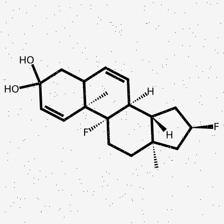 C[C@]12CC[C@]3(F)[C@@H](C=CC4CC(O)(O)C=C[C@@]43C)[C@@H]1C[C@@H](F)C2